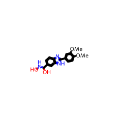 COc1ccc(-c2nc3ccc(C(O)NO)cc3[nH]2)cc1OC